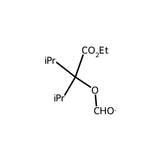 CCOC(=O)C(O[C]=O)(C(C)C)C(C)C